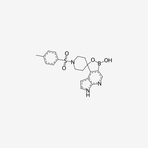 Cc1ccc(S(=O)(=O)N2CCC3(CC2)OB(O)c2cnc4[nH]ccc4c23)cc1